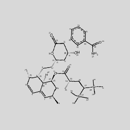 C[C@H]1C=C2C=C[C@H](C)[C@H](CC[C@H]3C[C@@H](O)CC(=O)O3)[C@H]2[C@@H](OC(=O)[C@@H](C)CC([Si](C)(C)C)[Si](C)(C)C)C1.NC(=O)c1ccccc1